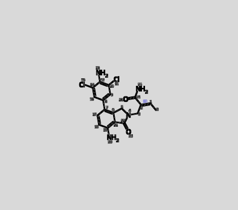 C/C=C(\CN1Cc2c(-c3cc(Cl)c(N)c(Cl)c3)ccc(N)c2C1=O)C(N)=O